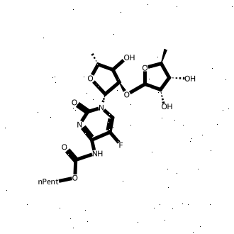 CCCCCOC(=O)Nc1nc(=O)n([C@@H]2O[C@H](C)C(O)[C@H]2OC2O[C@@H](C)[C@H](O)[C@@H]2O)cc1F